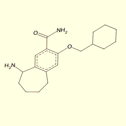 NC(=O)c1cc2c(cc1OCC1CCCCC1)CCCCC2N